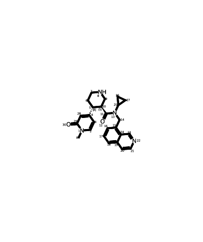 Cn1ccc([C@@H]2CCNC[C@H]2C(=O)N(Cc2cccc3ccncc23)C2CC2)cc1=O